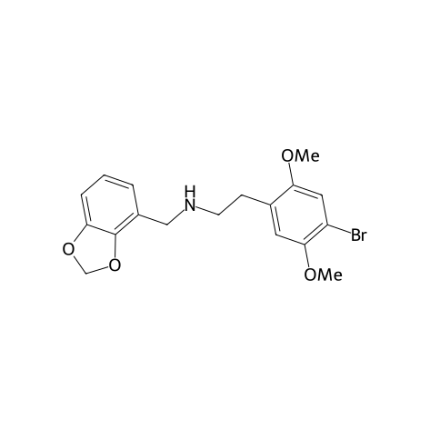 COc1cc(CCNCc2cccc3c2OCO3)c(OC)cc1Br